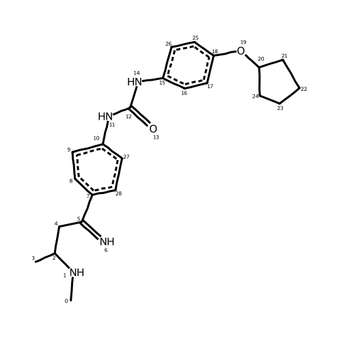 CNC(C)CC(=N)c1ccc(NC(=O)Nc2ccc(OC3CCCC3)cc2)cc1